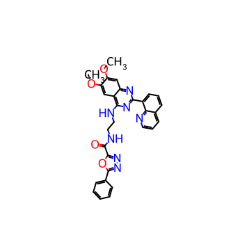 COc1cc2nc(-c3cccc4cccnc34)nc(NCCNC(=O)c3nnc(-c4ccccc4)o3)c2cc1OC